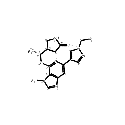 CC(C)Cn1cc(-c2cc3ncn(C)c3c(O[C@H](C)[C@H]3CNC(=O)C3)n2)cn1